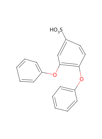 O=S(=O)(O)c1ccc(Oc2ccccc2)c(Oc2ccccc2)c1